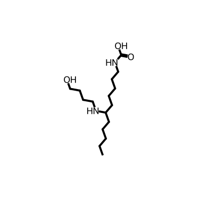 CCCCCC(CCCCCNC(=O)O)NCCCCO